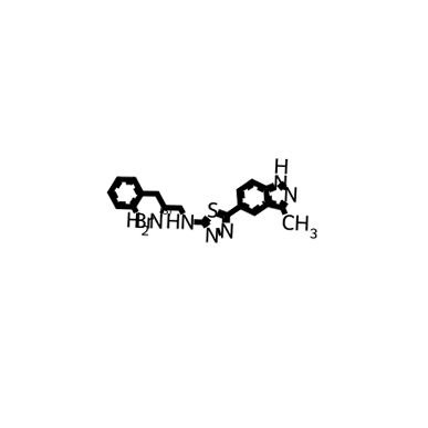 Cc1n[nH]c2ccc(-c3nnc(NC[C@@H](N)Cc4ccccc4Br)s3)cc12